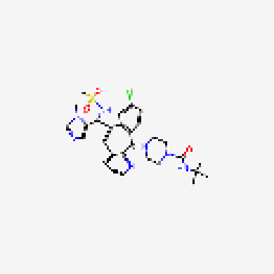 Cn1cncc1C(NS(C)(=O)=O)C1=Cc2cccnc2[C@@H](N2CCN(C(=O)NC(C)(C)C)CC2)c2ccc(Cl)cc21